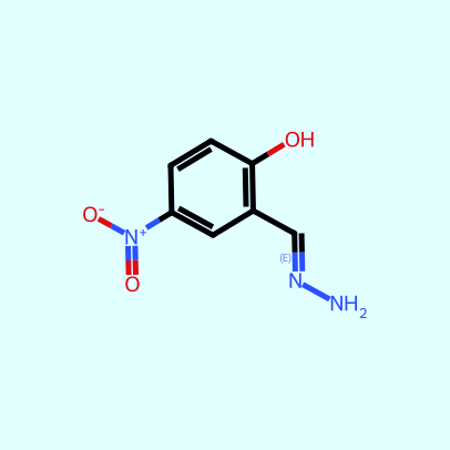 N/N=C/c1cc([N+](=O)[O-])ccc1O